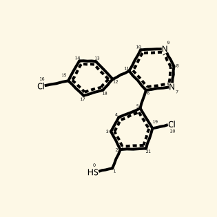 SCc1ccc(-c2ncncc2-c2ccc(Cl)cc2)c(Cl)c1